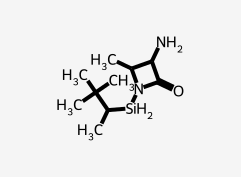 CC1C(N)C(=O)N1[SiH2]C(C)C(C)(C)C